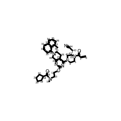 C=CC(=O)N1CCN(c2nc(OCCN(C)C(=O)C3CCCC3)nc3c2CCN(c2cccc4cccc(C)c24)C3)C[C@@H]1CC#N